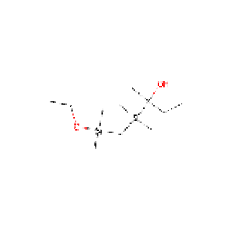 CCO[Si](C)(C)C[Si](C)(C)C(C)(O)CC